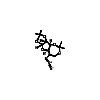 CC1(C)OCC(N=[N+]=[N-])[C@H]2O[C@@H]3OC(C)(C)O[C@@H]3[C@H]2O1